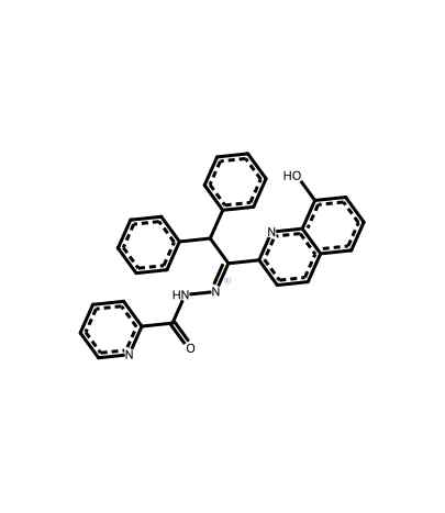 O=C(N/N=C(/c1ccc2cccc(O)c2n1)C(c1ccccc1)c1ccccc1)c1ccccn1